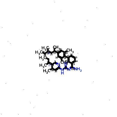 CC/C(C)=C1\C=NC(Nc2nc(N)c3cccc(-c4c(C)cc(C(C)/C=C(\C)CC)cc4C)c3n2)=CC1C